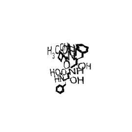 CC1(C)CCC1(O)C(=O)N[C@@H](Cc1ccccc1)C(O)CNC[C@@H](O)[C@H](Cc1ccccc1)NC(=O)O